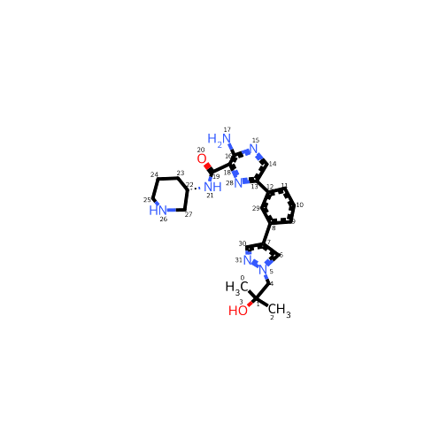 CC(C)(O)Cn1cc(-c2cccc(-c3cnc(N)c(C(=O)N[C@H]4CCCNC4)n3)c2)cn1